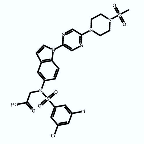 CS(=O)(=O)N1CCN(c2cnc(-n3ccc4cc(N(CC(=O)O)S(=O)(=O)c5cc(Cl)cc(Cl)c5)ccc43)cn2)CC1